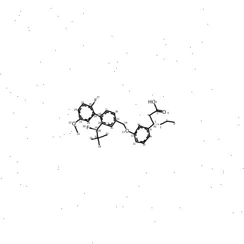 CCC[C@@H](CC(=O)O)c1cccc(OCc2ccc(-c3cc(OC)ccc3F)c([C@H](F)C(C)(C)C)c2)c1